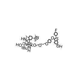 Cc1ncsc1-c1ccc(C(C)NC(=O)[C@@H]2C[C@@H](O)CN2C(=O)C(NC(=O)COCCOCCCOc2ccc(Oc3c(-c4ccc(F)cc4)sc4cc(O)ccc34)cc2)C(C)(C)C)cc1